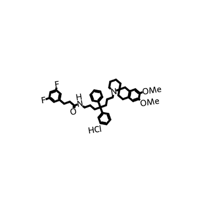 COc1cc2c(cc1OC)CC1(CCCCN1CCCC(CCCNC(=O)CCc1cc(F)cc(F)c1)(c1ccccc1)c1ccccc1)CC2.Cl